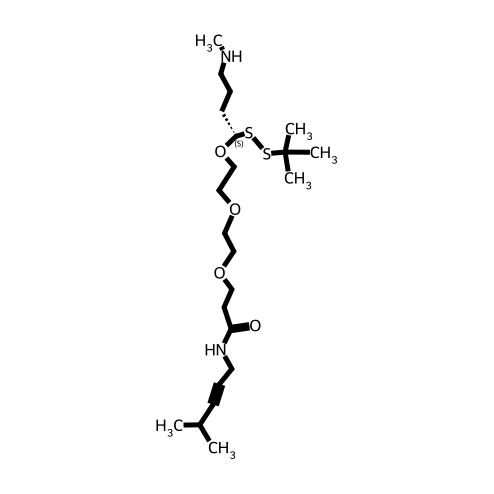 CNCCC[C@@H](OCCOCCOCCC(=O)NCC#CC(C)C)SSC(C)(C)C